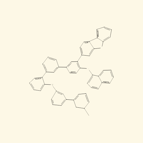 CC1C=CC=C(c2cccc(Nc3ccccc3-c3cccc(-c4ccc(Nc5cccc6ccccc56)c(-c5ccc6c(c5)sc5ccccc56)c4)c3)c2)C1